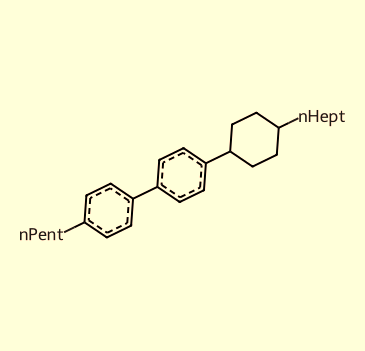 CCCCCCCC1CCC(c2ccc(-c3ccc(CCCCC)cc3)cc2)CC1